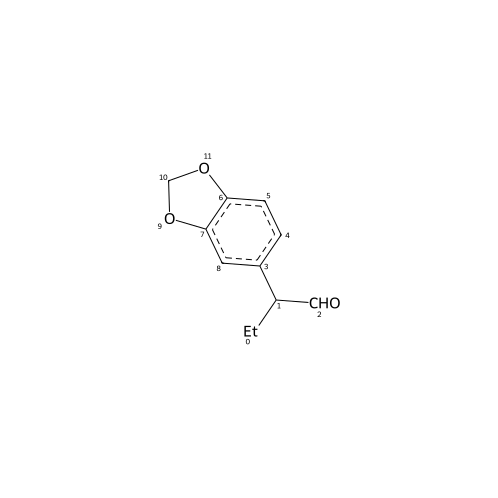 CCC(C=O)c1ccc2c(c1)OCO2